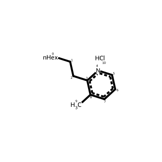 CCCCCCCCc1ncccc1C.Cl